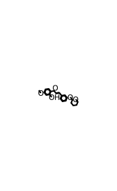 COc1ccc(C(=O)C=Cc2cccc(OC3CCCCO3)c2)c(O)c1